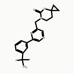 CC(F)(F)c1cccc(-c2cncc(CN3CCC4(CC4)OC3=O)n2)c1